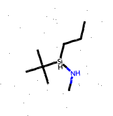 CCC[SiH](NC)C(C)(C)C